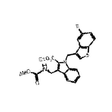 CCOC(=O)c1c(CNC(=O)OC)c2ccccc2n1Cc1csc2ccc(F)cc12